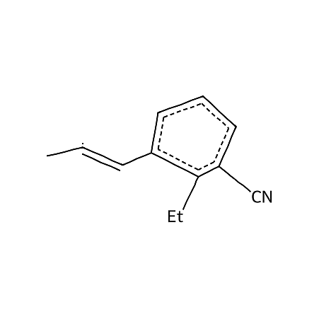 C[C]=Cc1cccc(C#N)c1CC